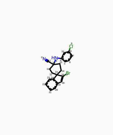 N#CC1(Nc2cccc(Cl)c2)CCC2(CC1)C(Br)=Cc1ccccc12